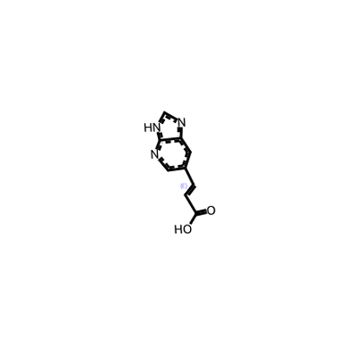 O=C(O)/C=C/c1cnc2[nH]cnc2c1